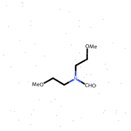 COCCN([C]=O)CCOC